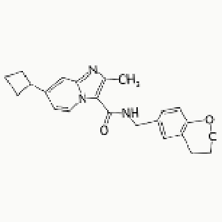 Cc1nc2cc(C3CCC3)ccn2c1C(=O)NCc1ccc2c(c1)CCCO2